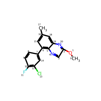 COc1cnc2c(-c3ccc(F)c(Cl)c3)cc(C)cc2n1